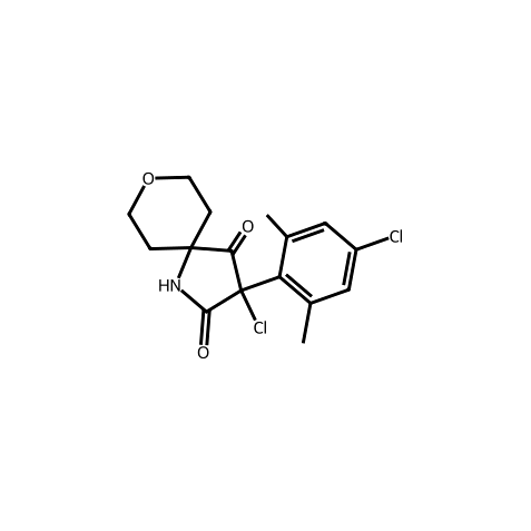 Cc1cc(Cl)cc(C)c1C1(Cl)C(=O)NC2(CCOCC2)C1=O